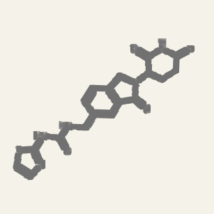 O=C1CCC(N2Cc3ccc(CNC(=O)Nc4nccs4)cc3C2=O)C(=O)N1